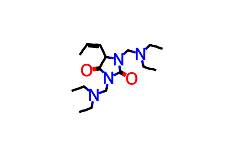 C/C=C\C1C(=O)N(CN(CC)CC)C(=O)N1CN(CC)CC